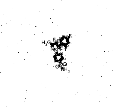 CC1=NN(c2ccc(S(N)(=O)=O)cc2)C(F)(c2ccc(F)cc2F)C1(F)F